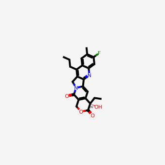 CCCc1c2c(nc3cc(F)c(C)cc13)-c1cc3c(c(=O)n1C2)COC(=O)[C@]3(O)CC